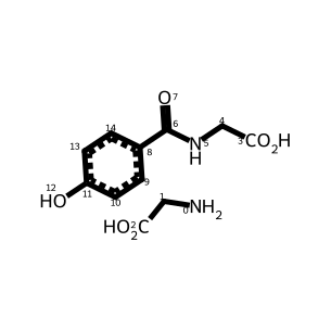 NCC(=O)O.O=C(O)CNC(=O)c1ccc(O)cc1